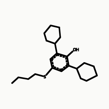 CCCCSc1cc(C2CCCCC2)c(O)c(C2CCCCC2)c1